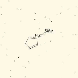 C1=CCC=C1.CSC